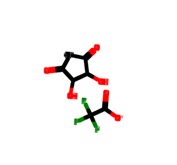 O=C([O-])C(F)(F)F.O=[C]1[Bi+][C](=O)C(O)C1O